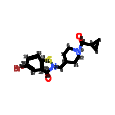 O=C(C1CC1)N1CCC(Cn2sc3ccc(Br)cc3c2=O)CC1